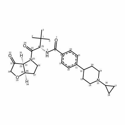 CC(C)(C)[C@H](NC(=O)c1ccc(C2CCN(C3CC3)CC2)cc1)C(=O)N1CC[C@H]2OCC(=O)[C@H]21